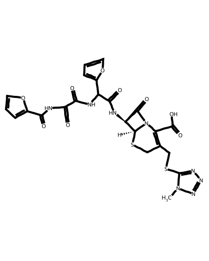 Cn1nnnc1SCC1=C(C(=O)O)N2C(=O)[C@H](NC(=O)C(NC(=O)C(=O)NC(=O)c3ccco3)c3ccco3)[C@@H]2SC1